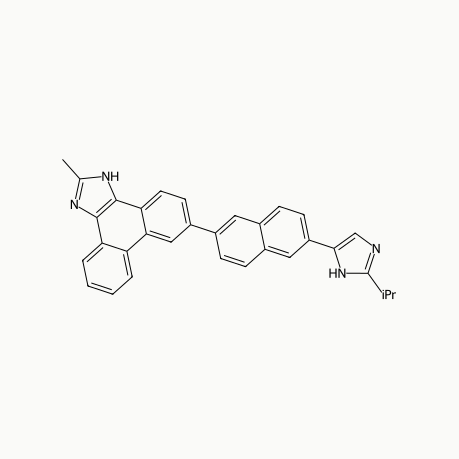 Cc1nc2c3ccccc3c3cc(-c4ccc5cc(-c6cnc(C(C)C)[nH]6)ccc5c4)ccc3c2[nH]1